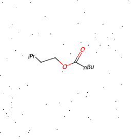 CCCCC(=O)OCCC(C)C